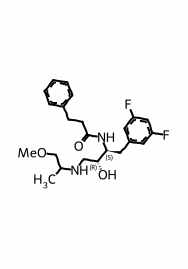 COCC(C)NC[C@@H](O)[C@H](Cc1cc(F)cc(F)c1)NC(=O)CCc1ccccc1